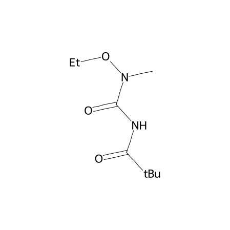 CCON(C)C(=O)NC(=O)C(C)(C)C